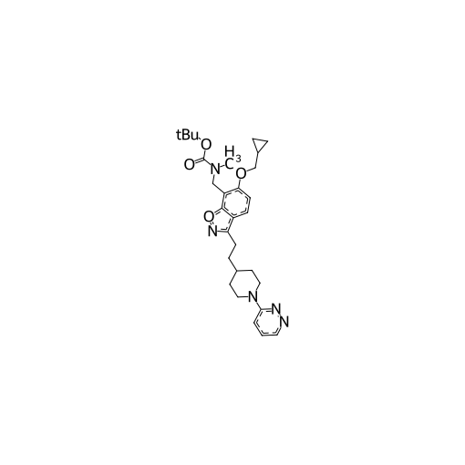 CN(Cc1c(OCC2CC2)ccc2c(CCC3CCN(c4cccnn4)CC3)noc12)C(=O)OC(C)(C)C